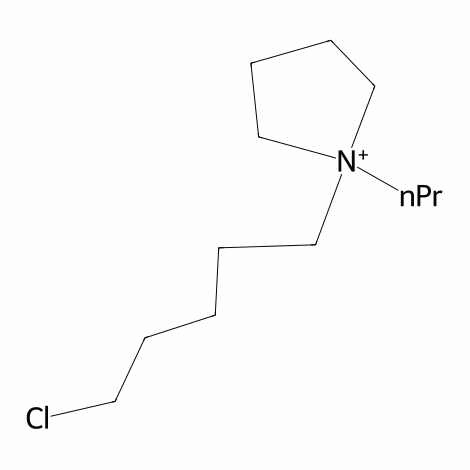 CCC[N+]1(CCCCCCl)CCCC1